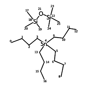 CCC[CH2][Sn]([CH2]CCC)([CH2]CCC)[CH2]CCC.C[Si](C)(C)O[Si](C)(C)C